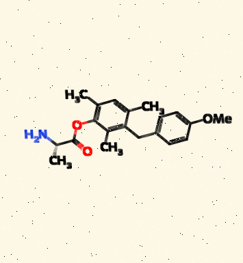 COc1ccc(Cc2c(C)cc(C)c(OC(=O)[C@H](C)N)c2C)cc1